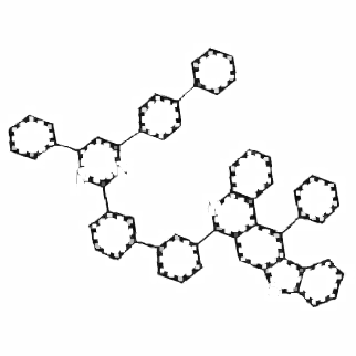 c1ccc(-c2ccc(-c3cc(-c4ccccc4)nc(-c4cccc(-c5cccc(-c6nc7ccccc7c7c(-c8ccccc8)c8c(cc67)oc6ccccc68)c5)c4)n3)cc2)cc1